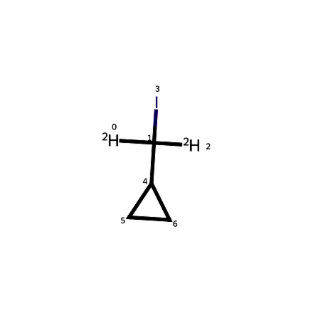 [2H]C([2H])(I)C1CC1